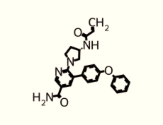 C=CC(=O)N[C@H]1CCN(c2ncc(C(N)=O)cc2-c2ccc(Oc3ccccc3)cc2)C1